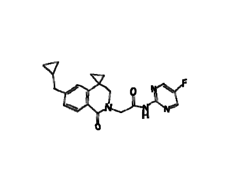 O=C(CN1CC2(CC2)c2cc(CC3CC3)ccc2C1=O)Nc1ncc(F)cn1